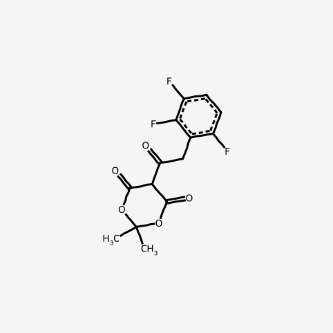 CC1(C)OC(=O)C(C(=O)Cc2c(F)ccc(F)c2F)C(=O)O1